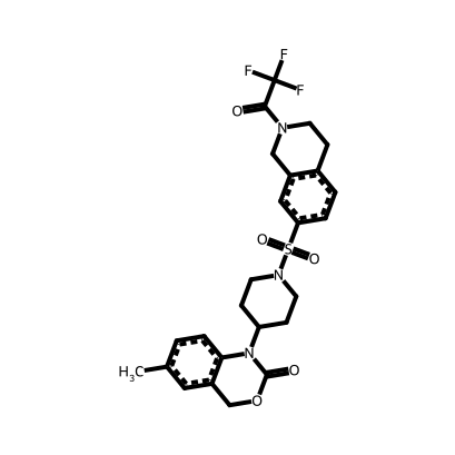 Cc1ccc2c(c1)COC(=O)N2C1CCN(S(=O)(=O)c2ccc3c(c2)CN(C(=O)C(F)(F)F)CC3)CC1